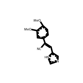 COc1ccc(/C(C#N)=C/c2cnc[nH]2)cc1OC